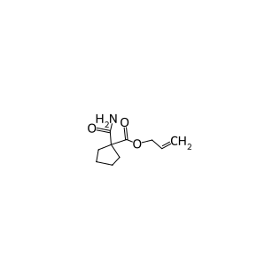 C=CCOC(=O)C1(C(N)=O)CCCC1